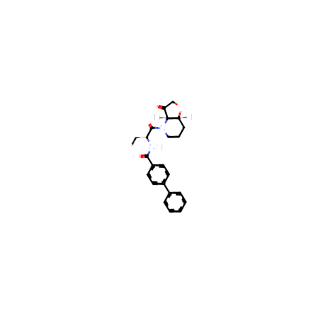 CC(C)C[C@H](NC(=O)c1ccc(-c2ccccc2)cc1)C(=O)N1CCC[C@H]2OCC(=O)[C@H]21